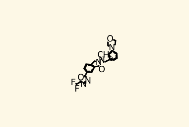 CN(Cc1cccc(N2CCOCC2)c1)N1Cc2ccc(-c3nnc(C(F)F)o3)cc2C1=O